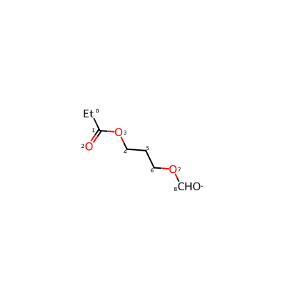 CCC(=O)OCCCO[C]=O